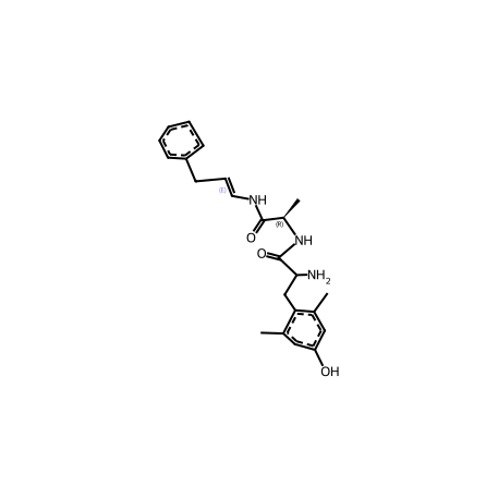 Cc1cc(O)cc(C)c1CC(N)C(=O)N[C@H](C)C(=O)N/C=C/Cc1ccccc1